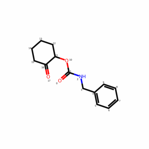 O=C(NCc1ccccc1)OC1CCCCC1=O